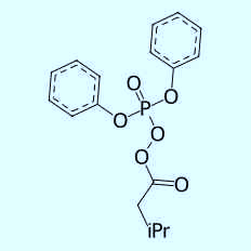 CC(C)CC(=O)OOP(=O)(Oc1ccccc1)Oc1ccccc1